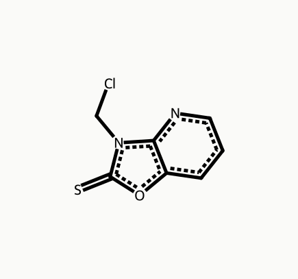 S=c1oc2cccnc2n1CCl